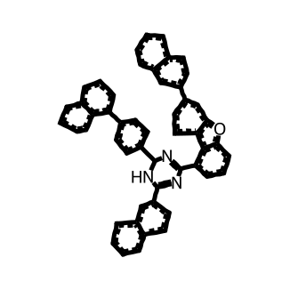 c1ccc2cc(C3=NC(c4cccc5oc6cc(-c7ccc8ccccc8c7)ccc6c45)=NC(c4ccc(-c5cccc6ccccc56)cc4)N3)ccc2c1